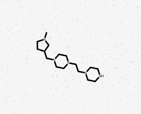 CN1CCC(CN2CCN(CCN3CCNCC3)CC2)C1